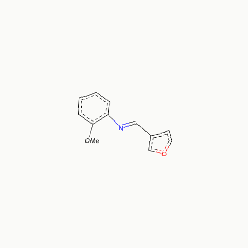 COc1ccccc1/N=C/c1ccoc1